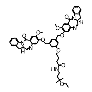 CCOC(C)(C)CCNC(=O)CCCOc1cc(COc2cc3c(cc2OC)C(=O)N2c4ccccc4C[C@H]2C=N3)cc(COc2cc3c(cc2OC)C(=O)N2c4ccccc4C[C@H]2C=N3)c1